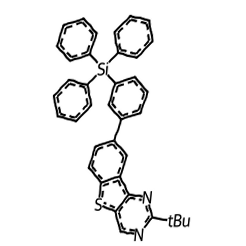 CC(C)(C)c1ncc2sc3ccc(-c4cccc([Si](c5ccccc5)(c5ccccc5)c5ccccc5)c4)cc3c2n1